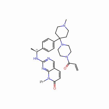 C=CC(=O)N1CCN(C2(c3ccc([C@H](C)Nc4ncc5ccc(=O)n(C(C)C)c5n4)cc3)CCN(C)CC2)CC1